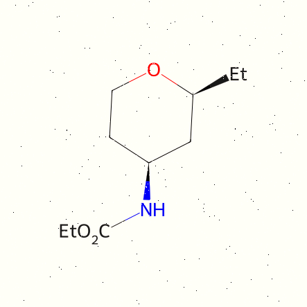 CCOC(=O)N[C@H]1CCO[C@@H](CC)C1